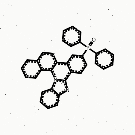 O=P(c1ccccc1)(c1ccccc1)c1ccc2c(c1)c1ccc3ccccc3c1n1c3ccccc3nc21